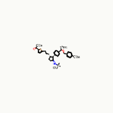 CCCCCC(OCc1ccc(OC)cc1)c1ccc([C@H]2C(=NN[Si](C)(C)C(C)(C)C)CC[C@@H]2CCCc2ccc(C(=O)OC)s2)cc1